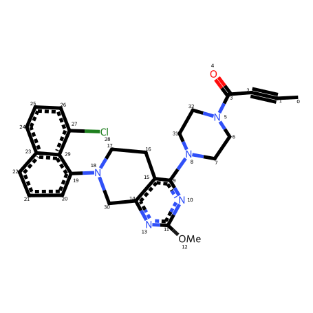 CC#CC(=O)N1CCN(c2nc(OC)nc3c2CCN(c2cccc4cccc(Cl)c24)C3)CC1